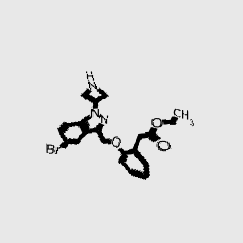 CCOC(=O)Cc1ccccc1OCc1nn(C2CNC2)c2ccc(Br)cc12